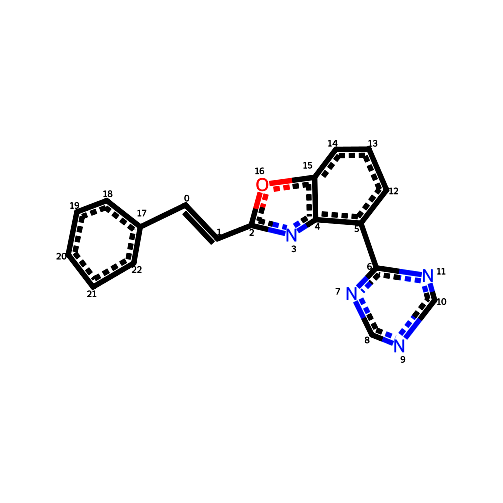 C(=Cc1nc2c(-c3ncncn3)cccc2o1)c1ccccc1